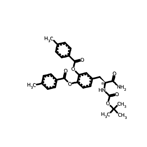 Cc1ccc(C(=O)Oc2ccc(C[C@H](NC(=O)OC(C)(C)C)C(N)=O)cc2OC(=O)c2ccc(C)cc2)cc1